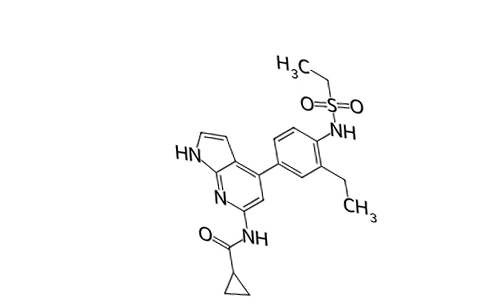 CCc1cc(-c2cc(NC(=O)C3CC3)nc3[nH]ccc23)ccc1NS(=O)(=O)CC